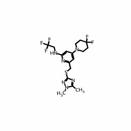 Cc1nc(SCc2cc(N3CCC(F)(F)CC3)cc(NCC(F)(F)F)n2)nn1C